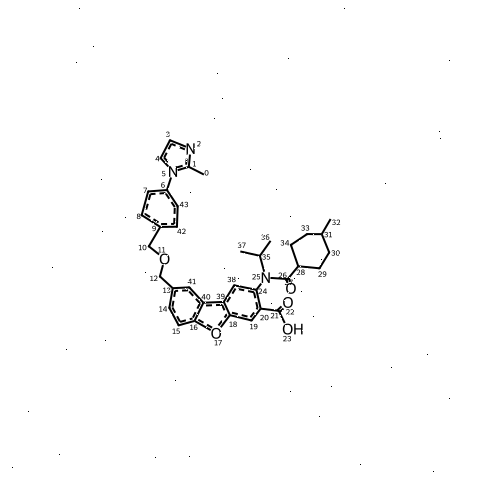 Cc1nccn1-c1ccc(COCc2ccc3oc4cc(C(=O)O)c(N(C(=O)C5CCC(C)CC5)C(C)C)cc4c3c2)cc1